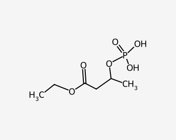 CCOC(=O)CC(C)OP(=O)(O)O